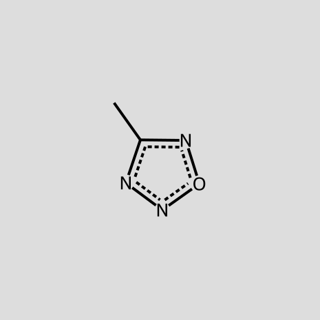 Cc1nnon1